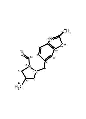 Cc1nc2ccc(CN3CC(C)CN3C=O)cc2s1